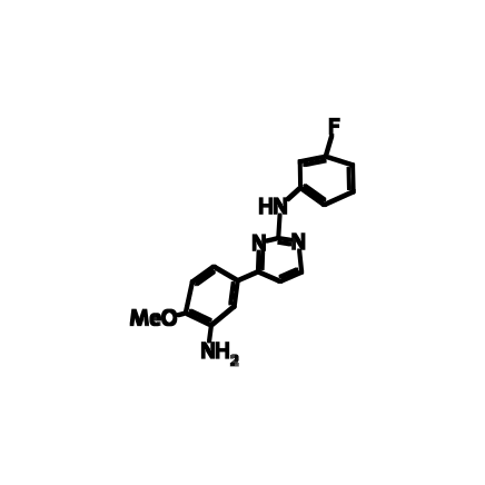 COc1ccc(-c2ccnc(Nc3cccc(F)c3)n2)cc1N